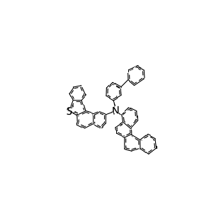 c1ccc(-c2cccc(N(c3ccc4ccc5sc6ccccc6c5c4c3)c3cccc4c3ccc3ccc5ccccc5c34)c2)cc1